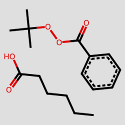 CC(C)(C)OOC(=O)c1ccccc1.CCCCCC(=O)O